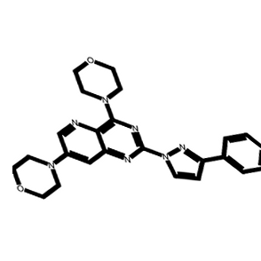 c1ccc(-c2ccn(-c3nc(N4CCOCC4)c4ncc(N5CCOCC5)cc4n3)n2)cc1